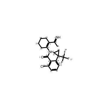 CC(=N)C1=C(NC(=O)c2c(Cl)cccc2C2(C(F)(F)F)CC2)CCCC1